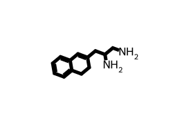 NCC(N)CC1=Cc2ccccc2CC1